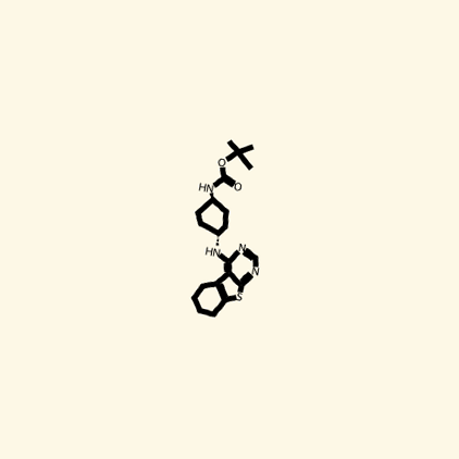 CC(C)(C)OC(=O)N[C@H]1CC[C@H](Nc2ncnc3sc4c(c23)CCCC4)CC1